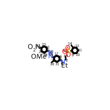 CCN(CCOS(=O)(=O)c1ccccc1C)c1ccc(N=Nc2ccc([N+](=O)[O-])cc2OC)c(C)c1